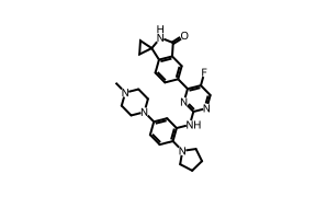 CN1CCN(c2ccc(N3CCCC3)c(Nc3ncc(F)c(-c4ccc5c(c4)C(=O)NC54CC4)n3)c2)CC1